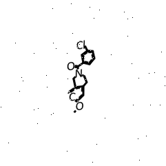 COc1ccc2c(c1)CCN(C(=O)c1cccc(Cl)c1)C2